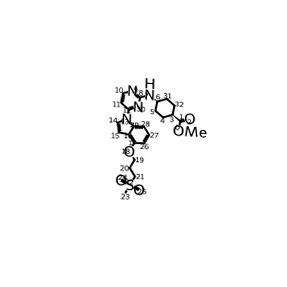 COC(=O)[C@H]1CC[C@H](Nc2nccc(-n3ccc4c(OCCCS(C)(=O)=O)cccc43)n2)CC1